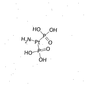 [NH2][Pt]([P](=O)(O)O)[P](=O)(O)O